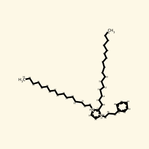 CCCCCCCCCCCCCCCCCc1n(CCCCCCCCCCCCCCCC)cc[n+]1CCCc1ccccc1